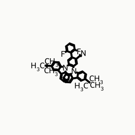 CC(C)(C)c1ccc2c(c1)c1ccccc1n2-c1cc(C#N)c(-c2c(F)cccc2F)cc1-n1c2ccccc2c2cc(C(C)(C)C)ccc21